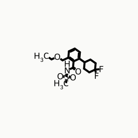 CCOCc1cccc(C2CCC(F)(F)CC2)c1C(=O)NS(C)(=O)=O